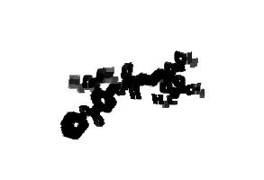 CCO[Si](CCCNC(=O)OCc1ccc(C(=O)Oc2ccccc2)cc1N(C)C)(OCC)OCC